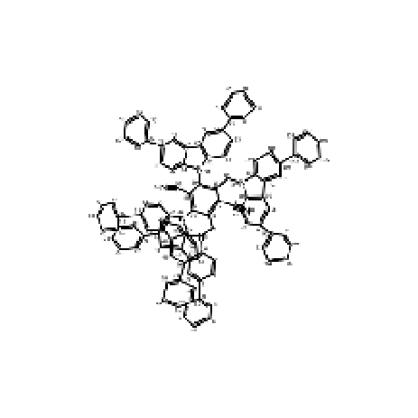 N#Cc1c(Cn2c3ccc(-c4ccccc4)cc3c3cc(-c4ccccc4)ccc32)c(-n2c3ccc(-c4ccccc4)cc3c3cc(-c4ccccc4)ccc32)c(C#N)c(-n2c3ccc(-c4ccccc4)cc3c3cc(-c4ccccc4)ccc32)c1Cn1c2ccc(-c3ccccc3)cc2c2cc(-c3ccccc3)ccc21